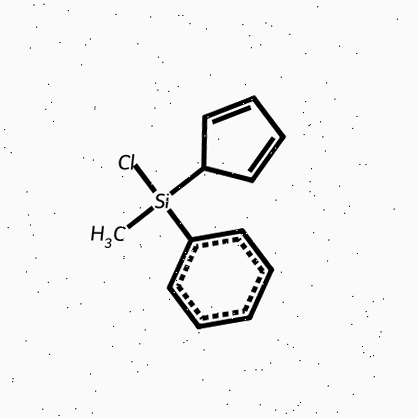 C[Si](Cl)(c1ccccc1)C1C=CC=C1